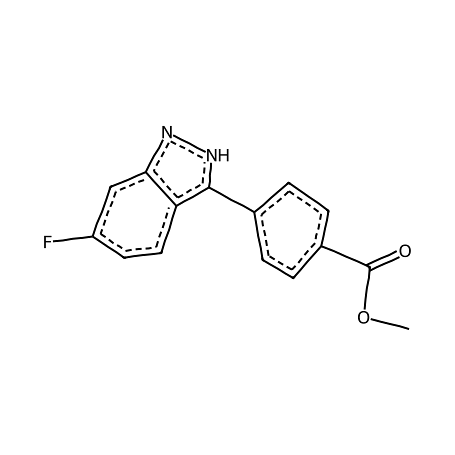 COC(=O)c1ccc(-c2[nH]nc3cc(F)ccc23)cc1